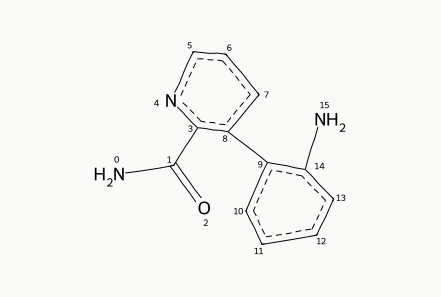 NC(=O)c1ncccc1-c1ccccc1N